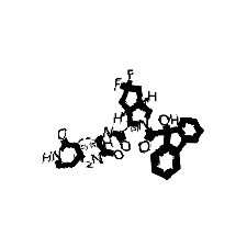 NC(=O)[C@H](C[C@@H]1CCCNC1=O)NC(=O)[C@@H]1[C@H]2CC(F)(F)C[C@H]2CN1C(=O)C1(O)c2ccccc2-c2ccccc21